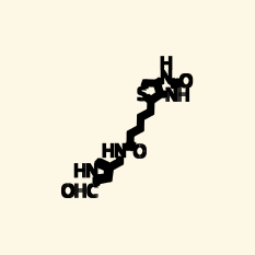 O=Cc1cc(CNC(=O)CCCCC2SCC3NC(=O)NC32)c[nH]1